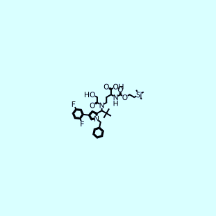 CC(C)(C)C(c1cc(-c2cc(F)ccc2F)cn1Cc1ccccc1)N(CCC(NC(=O)OCC[Si](C)(C)C)C(=O)O)C(=O)CO